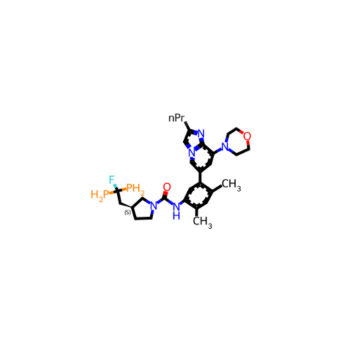 CCCc1cn2cc(-c3cc(NC(=O)N4CC[C@@H](CC(F)(P)P)C4)c(C)cc3C)cc(N3CCOCC3)c2n1